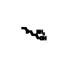 CCSCC[C@H](N)CO